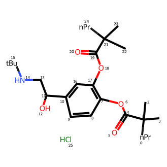 CCCC(C)(C)C(=O)Oc1ccc(C(O)CNC(C)(C)C)cc1OC(=O)C(C)(C)CCC.Cl